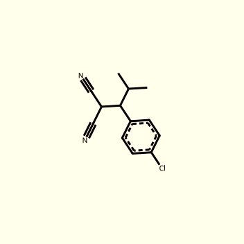 CC(C)C(c1ccc(Cl)cc1)C(C#N)C#N